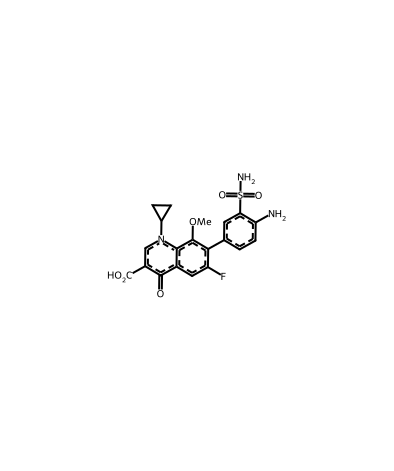 COc1c(-c2ccc(N)c(S(N)(=O)=O)c2)c(F)cc2c(=O)c(C(=O)O)cn(C3CC3)c12